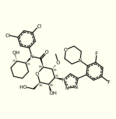 CO[C@@H]1[C@@H](n2cc(-c3cc(F)cc(F)c3N3CCOCC3)nn2)[C@@H](O)[C@@H](CO)O[C@H]1C(=O)N(c1cc(Cl)cc(Cl)c1)[C@H]1CCCC[C@@H]1O